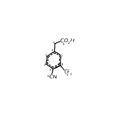 N#Cc1ccc(CC(=O)O)cc1C(F)(F)F